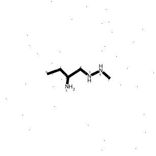 CCC(N)CNNC